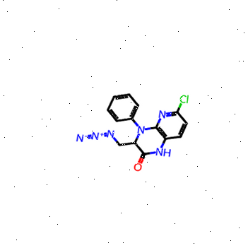 [N-]=[N+]=NCC1C(=O)Nc2ccc(Cl)nc2N1c1ccccc1